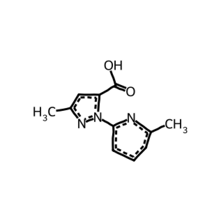 Cc1cccc(-n2nc(C)cc2C(=O)O)n1